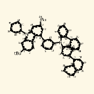 CC(C)(C)c1ccc2c3c(-c4cccc(N(c5ccc(-c6cccc7ccccc67)cc5)c5ccccc5-c5ccccc5)c4)cc(C(C)(C)C)cc3n(-c3ccccc3)c2c1